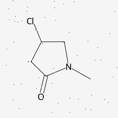 CN1CC(Cl)[CH]C1=O